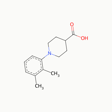 Cc1cccc(N2CCC(C(=O)O)CC2)c1C